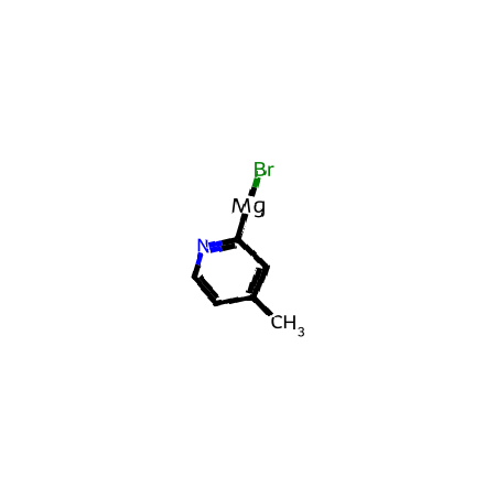 Cc1ccn[c]([Mg][Br])c1